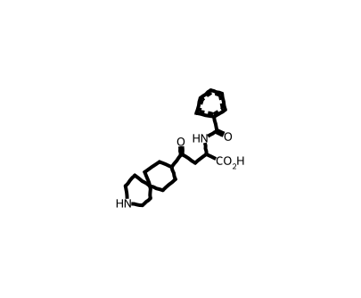 O=C(NC(CC(=O)C1CCC2(CCNCC2)CC1)C(=O)O)c1ccccc1